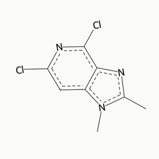 Cc1nc2c(Cl)nc(Cl)cc2n1C